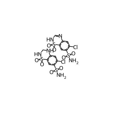 NS(=O)(=O)c1cc2c(cc1Cl)N=CNS2(=O)=O.NS(=O)(=O)c1cc2c(cc1Cl)NCNS2(=O)=O